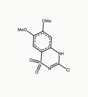 COc1cc2c(cc1OC)S(=O)(=O)N=C(Cl)N2